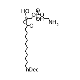 CCCCCCCCCCCCCCCCCCCCCC(=O)O[C@H](CO)COP(=O)(O)OCCN